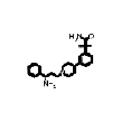 CC(C)(C(N)=O)c1cccc(C2CCN(CC[C@H](N)c3ccccc3)CC2)c1